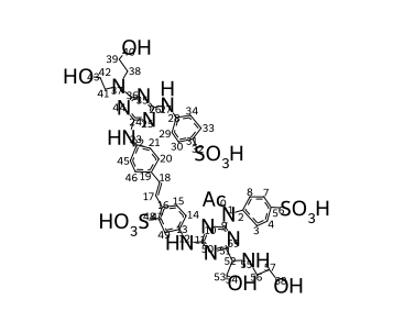 CC(=O)N(c1ccc(S(=O)(=O)O)cc1)c1nc(Nc2ccc(C=Cc3ccc(Nc4nc(Nc5ccc(S(=O)(=O)O)cc5)nc(N(CCO)CCO)n4)cc3)c(S(=O)(=O)O)c2)nc(C(CO)NCCO)n1